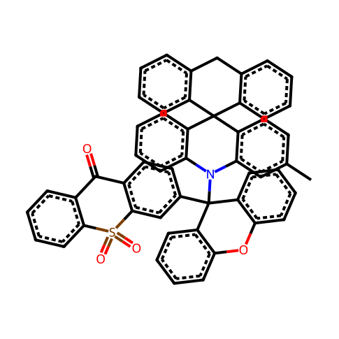 Cc1ccc2c(c1)N(C1(c3ccc4c(c3)S(=O)(=O)c3ccccc3C4=O)c3ccccc3Oc3ccccc31)c1ccccc1C21c2ccccc2Cc2ccccc21